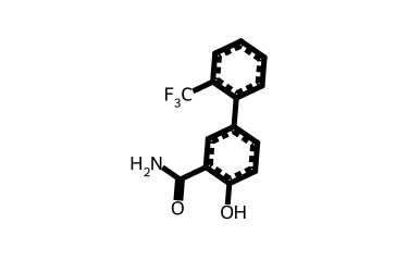 NC(=O)c1cc(-c2ccccc2C(F)(F)F)ccc1O